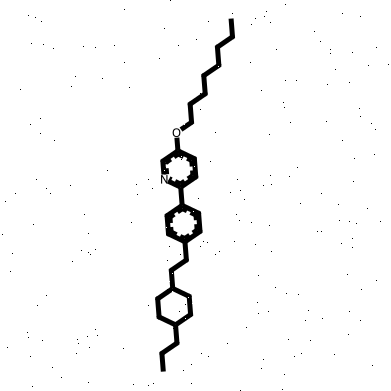 CCCCCCCCOc1ccc(-c2ccc(CCC3CCC(CCC)CC3)cc2)nc1